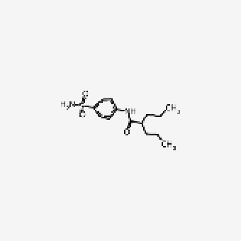 CCCC(CCC)C(=O)Nc1ccc(S(N)(=O)=O)cc1